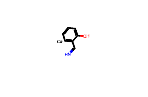 N=Cc1ccccc1O.[Cu]